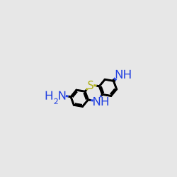 N=C1C=CC2=C(C1)Sc1cc(N)ccc1N2